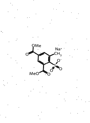 COC(=O)c1cc(C)c(S(=O)(=O)[O-])c(C(=O)OC)c1.[Na+]